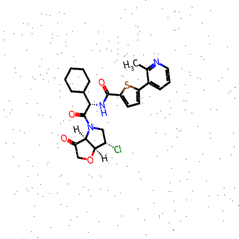 Cc1ncccc1-c1ccc(C(=O)N[C@H](C(=O)N2C[C@H](Cl)[C@H]3OCC(=O)[C@H]32)C2CCCCC2)s1